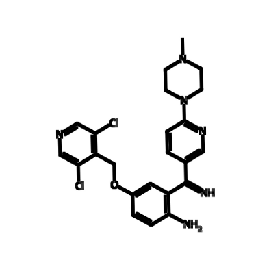 CN1CCN(c2ccc(C(=N)c3cc(OCc4c(Cl)cncc4Cl)ccc3N)cn2)CC1